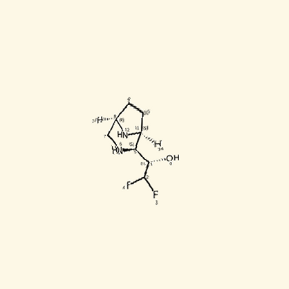 O[C@H](C(F)F)[C@H]1NC[C@H]2CC[C@@H]1N2